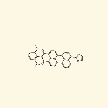 CC(C)c1cccc(C(C)C)c1N1C(=O)c2ccc3c4cccc5c(-c6ccco6)ccc(c6ccc(c2c36)C1=O)c54